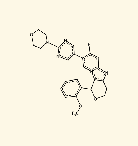 Fc1cc2nc3c(n2cc1-c1cnc(N2CCOCC2)nc1)C(c1ccccc1OC(F)(F)F)OCC3